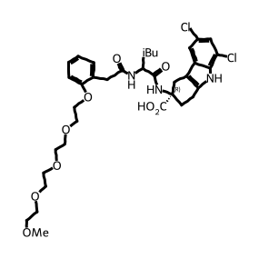 CCC(C)C(NC(=O)Cc1ccccc1OCCOCCOCCOCCOC)C(=O)N[C@]1(C(=O)O)CCc2[nH]c3c(Cl)cc(Cl)cc3c2C1